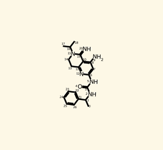 CC(NC(=O)Nc1cc(N)c2c(n1)CCN(C(C)C)C2=N)c1ccccc1